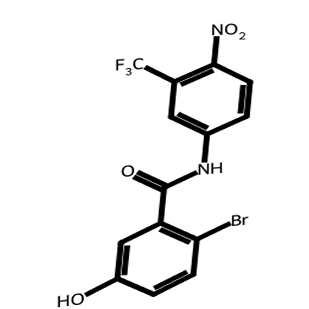 O=C(Nc1ccc([N+](=O)[O-])c(C(F)(F)F)c1)c1cc(O)ccc1Br